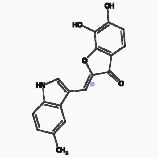 Cc1ccc2[nH]cc(/C=C3\Oc4c(ccc(O)c4O)C3=O)c2c1